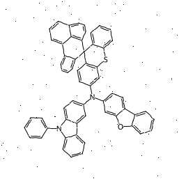 c1ccc(-n2c3ccccc3c3cc(N(c4ccc5c(c4)Sc4ccccc4C54c5ccccc5-c5cccc6cccc4c56)c4ccc5c(c4)oc4ccccc45)ccc32)cc1